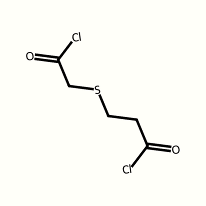 O=C(Cl)CCSCC(=O)Cl